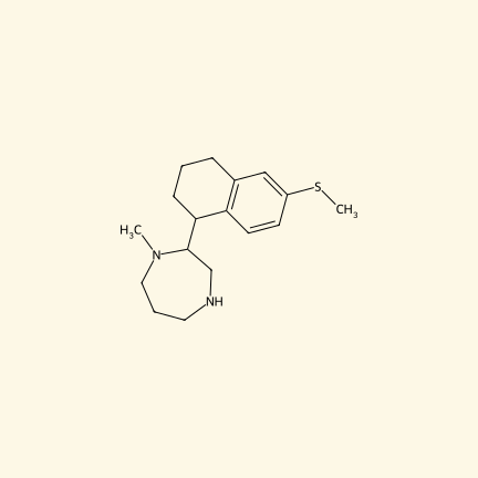 CSc1ccc2c(c1)CCCC2C1CNCCCN1C